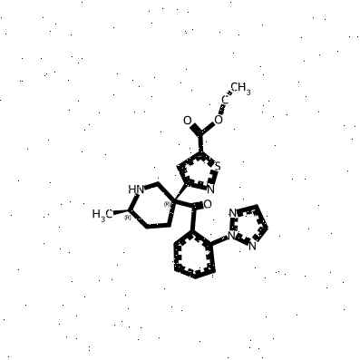 CCOC(=O)c1cc([C@@]2(C(=O)c3ccccc3-n3nccn3)CC[C@@H](C)NC2)ns1